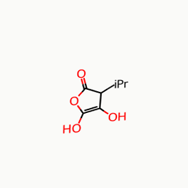 CC(C)C1C(=O)OC(O)=C1O